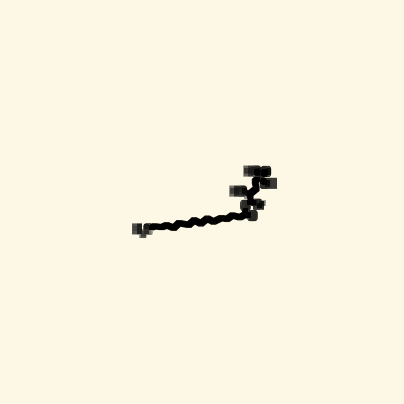 CCCCCCCCCCCCCCCC(=O)OC(Br)[C@@H](O)CCP(=O)(O)O